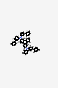 c1ccc(-c2cccc(N(c3ccc(-c4ccc(-n5c6ccccc6c6cc(-c7ccccc7)ccc65)cc4-c4ccccc4)cc3)c3cccc(-c4ccccc4)c3)c2)cc1